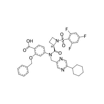 O=C(O)c1ccc(N(Cc2cnc(C3CCCCC3)cn2)C(=O)[C@H]2CCN2S(=O)(=O)c2c(F)cc(F)cc2F)cc1OCc1ccccc1